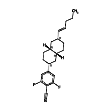 CCCC=C[C@@H]1CC[C@@H]2C[C@H](c3cc(F)c(C#N)c(F)c3)CC[C@@H]2C1